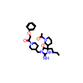 CCCCC1(C2CCCN(C(C)=O)C2)NC(=N)N(CC2CCN(C(=O)COc3ccccc3)CC2)C1=O